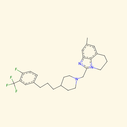 Cc1cc2c3c(c1)nc(CN1CCC(CCCc4ccc(F)c(C(F)(F)F)c4)CC1)n3CCC2